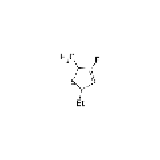 CCC1C=C(F)C(C)S1